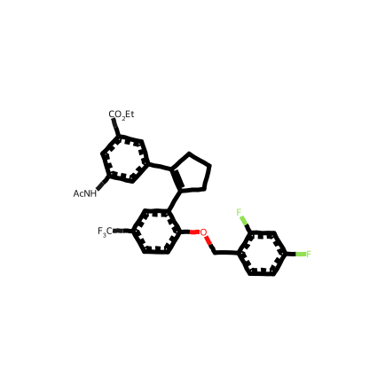 CCOC(=O)c1cc(NC(C)=O)cc(C2=C(c3cc(C(F)(F)F)ccc3OCc3ccc(F)cc3F)CCC2)c1